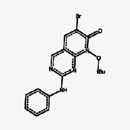 CC(C)(C)On1c(=O)c(Br)cc2cnc(Nc3ccccc3)nc21